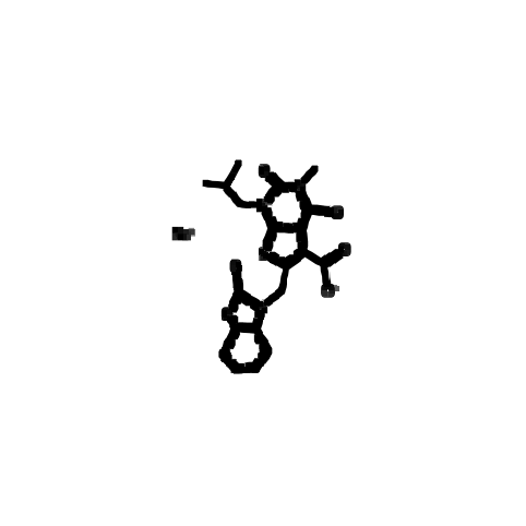 CC(C)Cn1c(=O)n(C)c(=O)c2c(C(=O)[O-])c(Cn3c(=O)oc4ccccc43)sc21.[Na+]